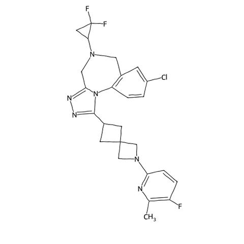 Cc1nc(N2CC3(CC(c4nnc5n4-c4ccc(Cl)cc4CN(C4CC4(F)F)C5)C3)C2)ccc1F